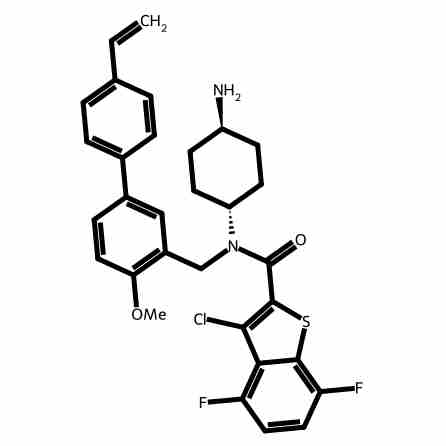 C=Cc1ccc(-c2ccc(OC)c(CN(C(=O)c3sc4c(F)ccc(F)c4c3Cl)[C@H]3CC[C@H](N)CC3)c2)cc1